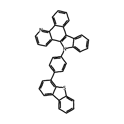 c1ccc2c(c1)sc1c(-c3ccc(-n4c5ccccc5c5c6ccccc6c6ncccc6c54)cc3)cccc12